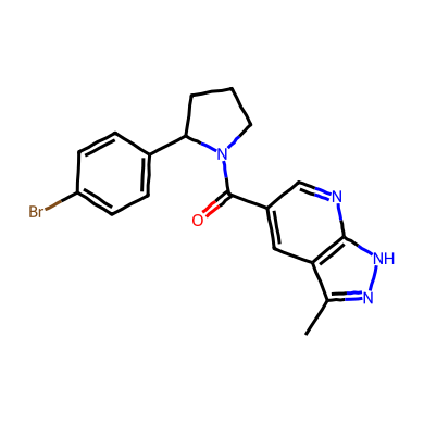 Cc1n[nH]c2ncc(C(=O)N3CCCC3c3ccc(Br)cc3)cc12